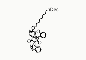 CCCCCCCCCCCCCCCCCCOc1ccc(C(=O)C(C(=O)Nc2ccccc2OC)n2nnc3ccccc32)cc1